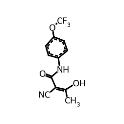 CC(O)=C(C#N)C(=O)Nc1ccc(OC(F)(F)F)cc1